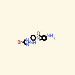 Nc1ccc2c(c1)C(=O)N([C@H]1CCC[C@@H](Nc3ncc(Br)cn3)C1)C2